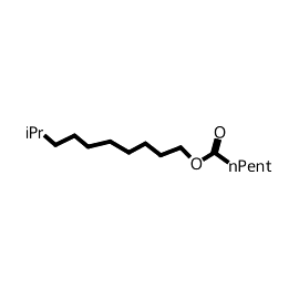 CCCCCC(=O)OCCCCCCCCC(C)C